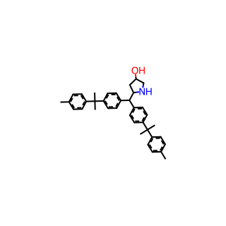 Cc1ccc(C(C)(C)c2ccc(C(c3ccc(C(C)(C)c4ccc(C)cc4)cc3)C3CC(O)CN3)cc2)cc1